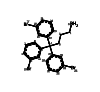 BCCCC(c1cccc(Br)c1)(c1cccc(Br)c1)c1cccc(Br)c1